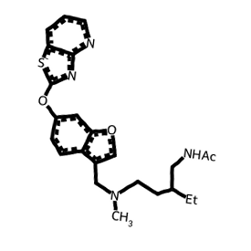 CCC(CCN(C)Cc1coc2cc(Oc3nc4ncccc4s3)ccc12)CNC(C)=O